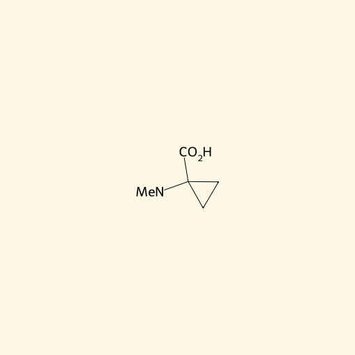 [CH2]NC1(C(=O)O)CC1